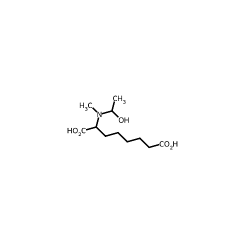 CC(O)N(C)C(CCCCCC(=O)O)C(=O)O